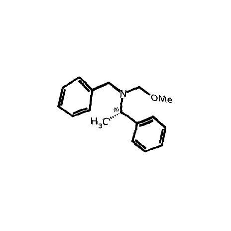 COCN(Cc1ccccc1)[C@@H](C)c1ccccc1